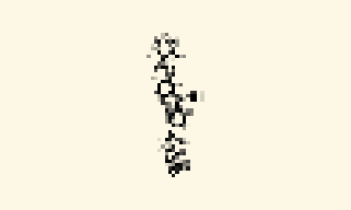 Cc1cnnc(C)c1C(C)Oc1ccc(N)c(C(=N)c2ccc(N3CC4(CCS(=O)(=O)C4)C3)nc2)c1